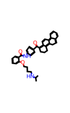 CC(C)NCCCCOc1ccccc1C(=O)Nc1ccc(C(=O)C2=c3ccc4c(c3CCC2)CC=c2ccccc2=4)cc1